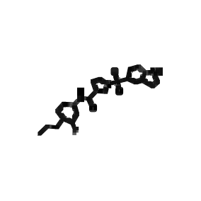 CCCc1ccc(NC(=O)c2ccn(S(=O)(=O)c3ccc4[nH]ccc4c3)c2)cc1F